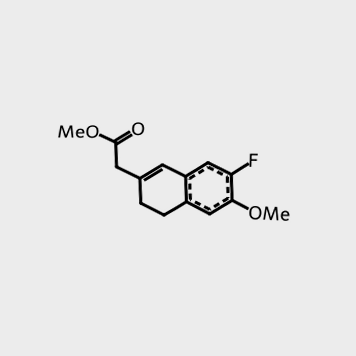 COC(=O)CC1=Cc2cc(F)c(OC)cc2CC1